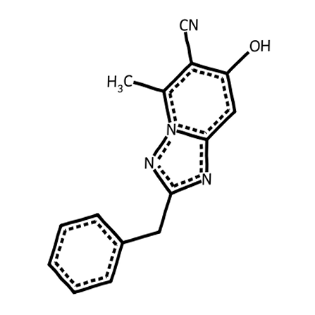 Cc1c(C#N)c(O)cc2nc(Cc3ccccc3)nn12